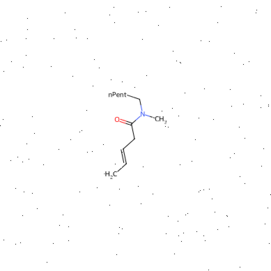 [CH2]C=CCC(=O)N(C)CCCCCC